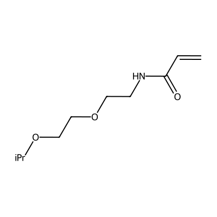 C=CC(=O)NCCOCCOC(C)C